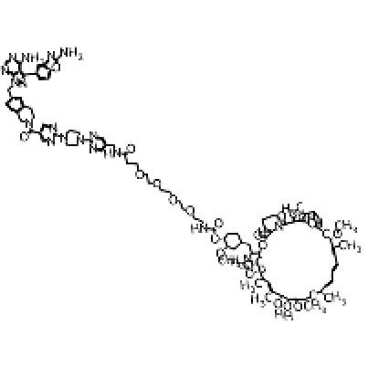 CO[C@H]1C[C@@H]2CC[C@@H](C)[C@@](O)(O2)C(=O)C(=O)N2CCCC[C@H]2C(=O)O[C@H]([C@H](N)C[C@@H]2CC[C@@H](OC(=O)NCCOCCOCCOCCOCCC(=O)NCc3cnc(N4CCN(c5ncc(C(=O)N6CCc7cc(Cn8nc(-c9ccc%10oc(N)nc%10c9)c9c(N)ncnc98)ccc7C6)cn5)CC4)nc3)[C@H](OC)C2)C[C@@H](OC)[C@H](C)/C=C(\C)[C@@H](O)[C@@H](O)C(=O)[C@H](C)C[C@H](C)/C=C/C=C/C=C/1C